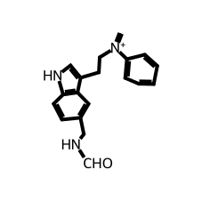 C=[N+](CCc1c[nH]c2ccc(CNC=O)cc12)c1ccccc1